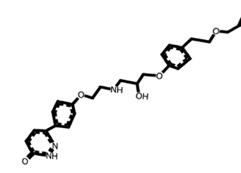 O=c1ccc(-c2ccc(OCCNCC(O)COc3ccc(CCOCC4CC4)cc3)cc2)n[nH]1